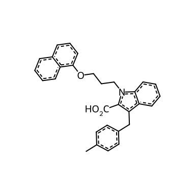 Cc1ccc(Cc2c(C(=O)O)n(CCCOc3cccc4ccccc34)c3ccccc23)cc1